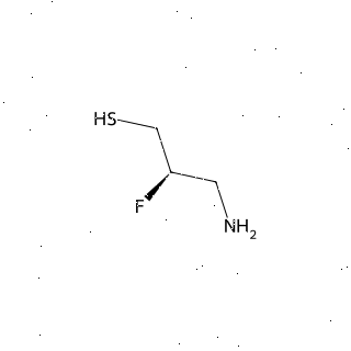 NC[C@@H](F)CS